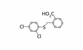 O=C(O)c1ccccc1CSc1ccc(Cl)cc1Cl